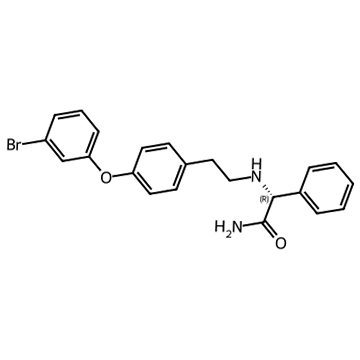 NC(=O)[C@H](NCCc1ccc(Oc2cccc(Br)c2)cc1)c1ccccc1